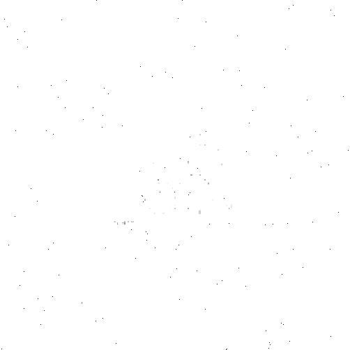 CCCCCCCc1cc(O)c(C2=C(CO)CCC(CC)C2)c(O)c1